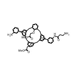 COC(=O)COc1c2cccc1Cc1cc(-c3cccc(NC(=O)CCN)c3)cc(c1O)Cc1cccc(c1OCC(=O)OC)Cc1cc(-c3cccc(N)c3)cc(c1O)C2